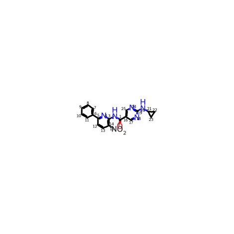 O=C(Nc1nc(-c2ccccc2)ccc1[N+](=O)[O-])c1cnc(NC2CC2)nc1